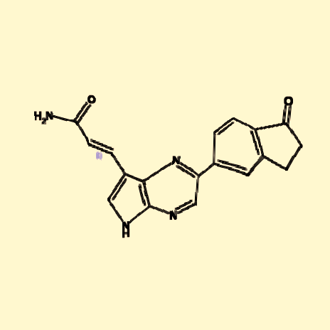 NC(=O)/C=C/c1c[nH]c2ncc(-c3ccc4c(c3)CCC4=O)nc12